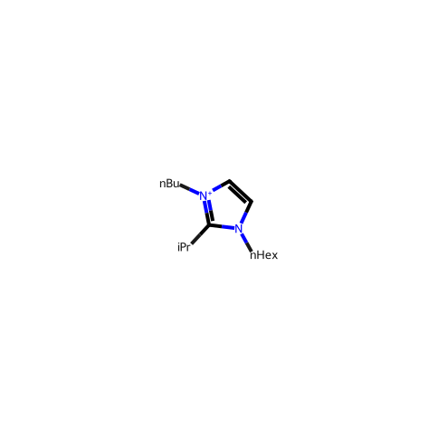 CCCCCCn1cc[n+](CCCC)c1C(C)C